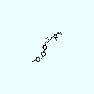 O=[N+]([O-])c1cn(CCC(O)COc2ccc(N3CCC(Oc4ccc(Cl)cc4)CC3)nc2)c(Cl)n1